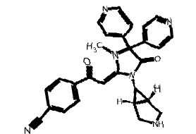 CN1C(=CC(=O)c2ccc(C#N)cc2)N([C@H]2[C@@H]3CNC[C@@H]32)C(=O)C1(c1ccncc1)c1ccncc1